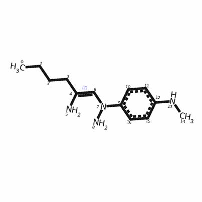 CCCC/C(N)=C/N(N)c1ccc(NC)cc1